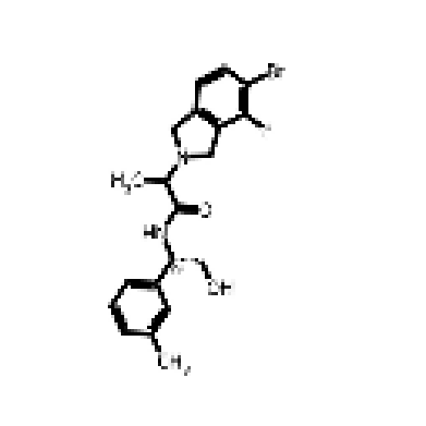 Cc1cccc([C@@H](CO)NC(=O)C(C)N2Cc3ccc(Br)c(F)c3C2)c1